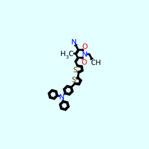 C#CCN1C(=O)C(=Cc2ccc(-c3ccc(-c4ccc(N(c5ccccc5)c5ccccc5)cc4)s3)s2)C(C)=C(C#N)C1=O